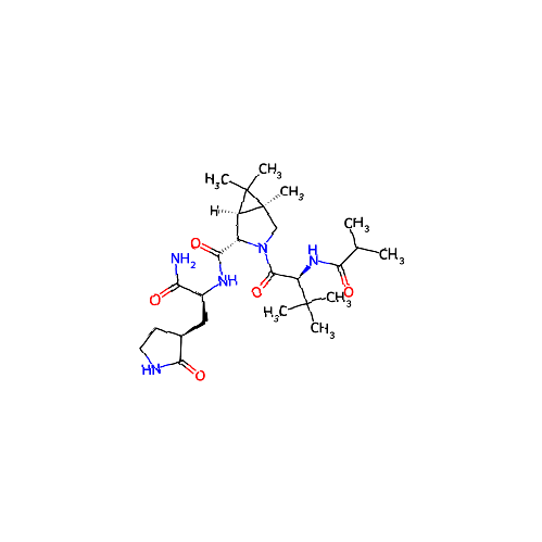 CC(C)C(=O)N[C@H](C(=O)N1C[C@@]2(C)[C@@H]([C@H]1C(=O)N[C@@H](C[C@@H]1CCNC1=O)C(N)=O)C2(C)C)C(C)(C)C